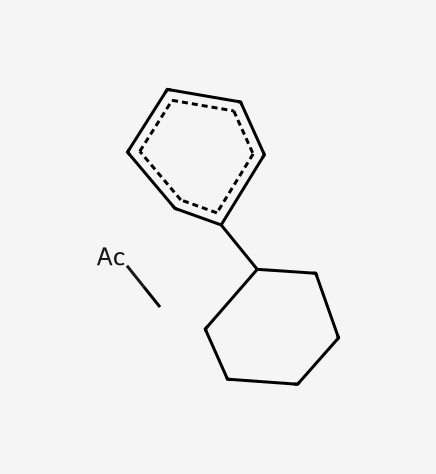 CC(C)=O.c1ccc(C2CCCCC2)cc1